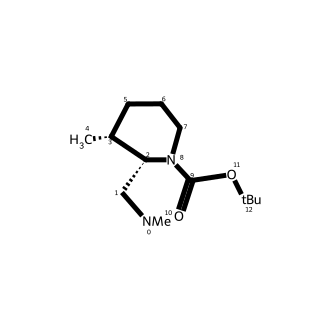 CNC[C@@H]1[C@H](C)CCCN1C(=O)OC(C)(C)C